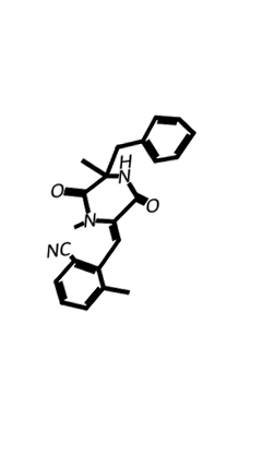 Cc1cccc(C#N)c1C=C1C(=O)NC(C)(Cc2ccccc2)C(=O)N1C